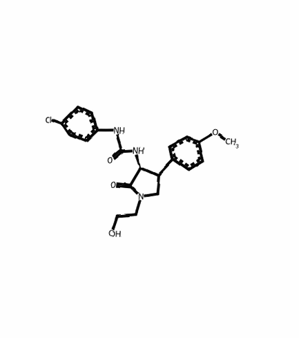 COc1ccc(C2CN(CCO)C(=O)[C@H]2NC(=O)Nc2ccc(Cl)cc2)cc1